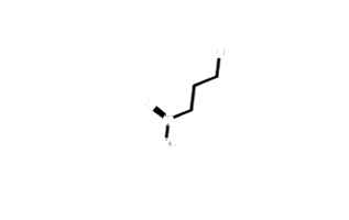 O=S(O)CCCCl